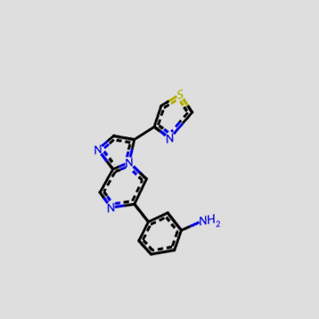 Nc1cccc(-c2cn3c(-c4cscn4)cnc3cn2)c1